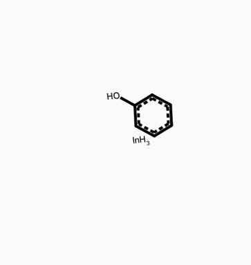 Oc1ccccc1.[InH3]